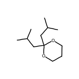 CC(C)CC1(CC(C)C)OCCCO1